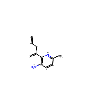 Bc1ccc(N)c(C(=C)CC=C)n1